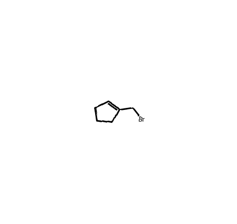 BrCC1=CCCC1